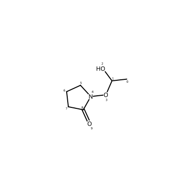 CC(O)ON1CCCC1=O